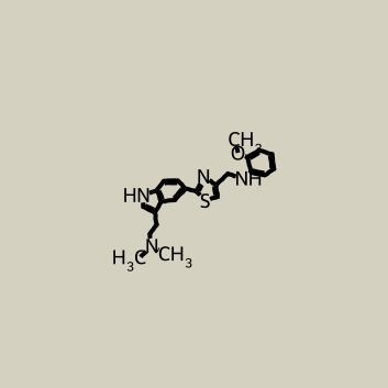 COc1ccccc1NCc1csc(-c2ccc3[nH]cc(CCN(C)C)c3c2)n1